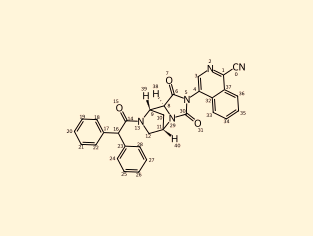 N#Cc1ncc(N2C(=O)[C@@H]3[C@@H]4C[C@@H](CN4C(=O)C(c4ccccc4)c4ccccc4)N3C2=O)c2ccccc12